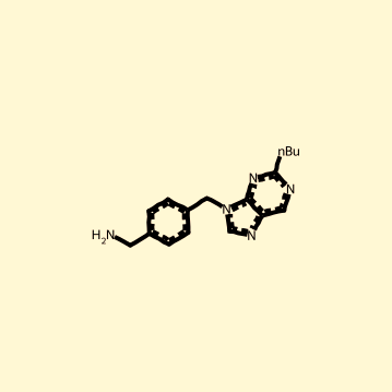 CCCCc1ncc2ncn(Cc3ccc(CN)cc3)c2n1